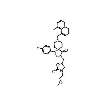 COCCN1CC(CN2CN(c3ccc(F)cc3)C3(CCN(Cc4cccc5cccc(C)c45)CC3)C2=O)OC1=O